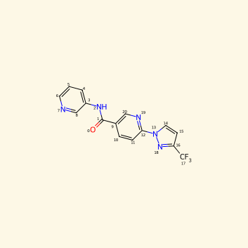 O=C(Nc1cccnc1)c1ccc(-n2ccc(C(F)(F)F)n2)nc1